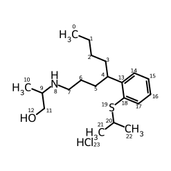 CCCCC(CCCNC(C)CO)c1ccccc1SC(C)C.Cl